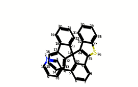 c1cncc(-c2cccc3c2C2(c4ccccc4-c4ccccc42)c2c-3sc3ccccc23)c1